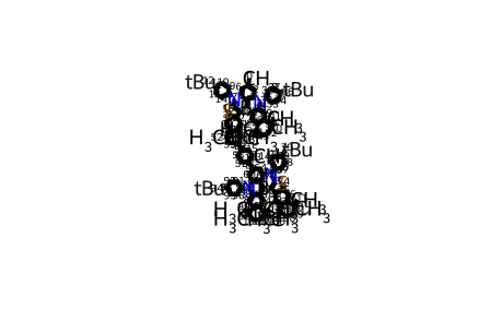 Cc1cc2c3c(c1)N(c1ccc(C(C)(C)C)cc1)c1sc4cc5c(cc4c1B3c1cc3c(cc1N2c1ccc(C(C)(C)C)cc1)C(C)(C)CCC3(C)C)C1(C)CCC5(C)CC1c1ccc(-c2cc3c4c(c2)N(c2ccc(C(C)(C)C)cc2)c2sc5cc6c(cc5c2B4c2cc4c(cc2N3c2ccc(C(C)(C)C)cc2)C(C)(C)CCC4(C)C)C(C)(C)CCC6(C)C)c(C)c1